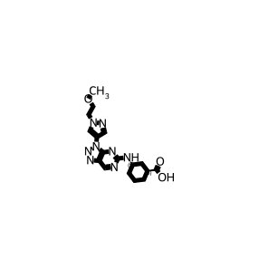 COCCn1cc(-n2nnc3cnc(N[C@H]4CCC[C@H](C(=O)O)C4)nc32)cn1